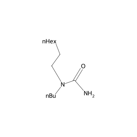 CCCCCCCCN(CCCC)C(N)=O